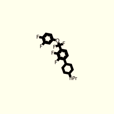 CCCC1CCC(c2ccc(C(F)(F)Oc3ccc(F)c(F)c3)c(F)c2F)CC1